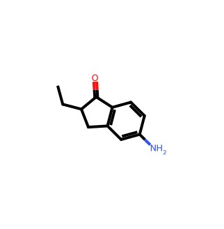 CCC1Cc2cc(N)ccc2C1=O